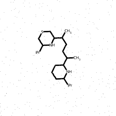 CC(C)C1CCCC(C(C)CCC(C)C2CSCC(C(C)C)N2)N1